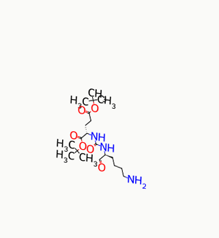 CC(C)(C)OC(=O)CC[C@H](NC(=O)N[C@H](C=O)CCCCN)C(=O)OC(C)(C)C